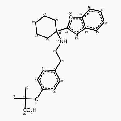 CC(C)(Oc1ccc(CCNC2(c3nc4ccccc4o3)CCCCC2)cc1)C(=O)O